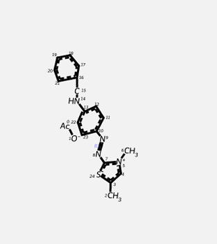 CC(=O)[O-].Cc1c[n+](C)c(/N=N/c2ccc(NCc3ccccc3)cc2)s1